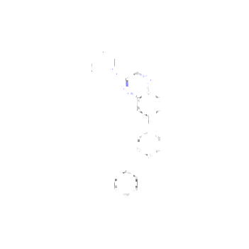 c1ccc(Oc2ccc(-c3ccc4ncc(N5CCOCC5)nc4c3)cc2)cc1